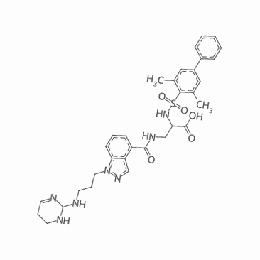 Cc1cc(-c2ccccc2)cc(C)c1S(=O)(=O)NC(CNC(=O)c1cccc2c1cnn2CCCNC1N=CCCN1)C(=O)O